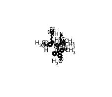 COc1ccc(C(OCC2OC(n3cc(CCCNC(=O)C(F)(F)F)c4cc(NS(C)(=O)=O)ccc43)CC2OP(OCCC#N)N(C(C)C)C(C)C)(c2ccccc2)c2ccc(OC)cc2)cc1